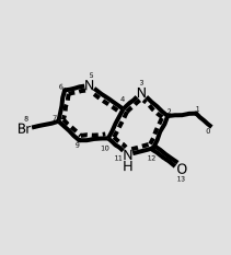 CCc1nc2ncc(Br)cc2[nH]c1=O